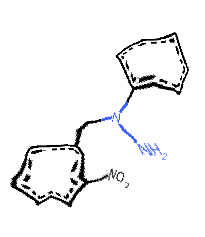 NN(Cc1ccccc1[N+](=O)[O-])c1ccccc1